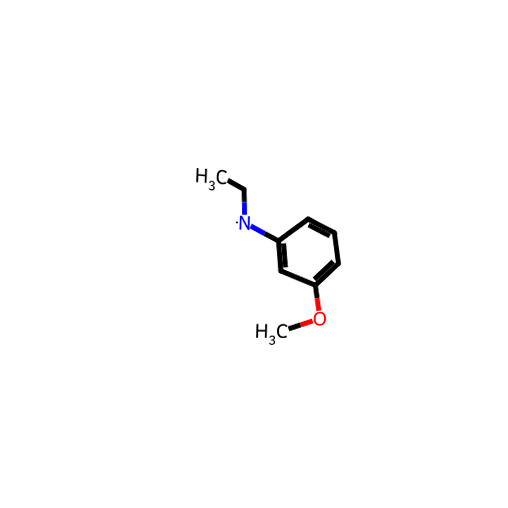 CC[N]c1cccc(OC)c1